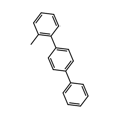 Cc1ccc[c]c1-c1ccc(-c2ccccc2)cc1